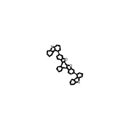 c1ccc2c(c1)sc1cccc(-c3ccc4c(c3)oc3c5oc6cc(-c7cccc8sc9ccccc9c78)ccc6c5c5ccccc5c43)c12